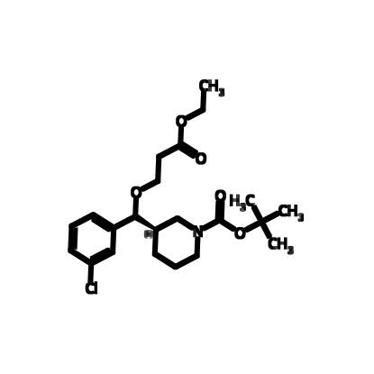 CCOC(=O)CCOC(c1cccc(Cl)c1)[C@@H]1CCCN(C(=O)OC(C)(C)C)C1